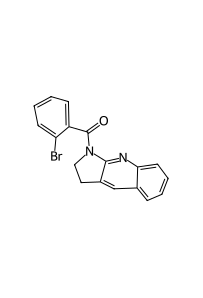 O=C(c1ccccc1Br)N1CCc2cc3ccccc3nc21